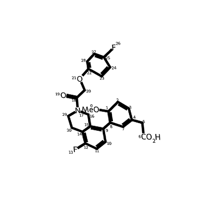 COc1ccc(CC(=O)O)cc1-c1ccc(F)c2c1CN(C(=O)COc1ccc(F)cc1)CC2